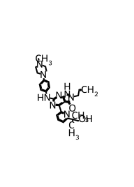 C=CCn1[nH]c2nc(Nc3ccc(N4CCN(C)CC4)cc3)nc(-c3cccc(C(C)(C)CO)n3)c2c1=O